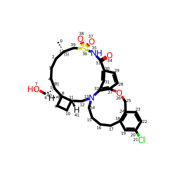 C[C@H]1CCC[C@@H](CO)[C@@H]2CC[C@H]2CN2CCCCc3cc(Cl)ccc3COc3ccc(cc32)C(=O)NS(=O)(=O)C1